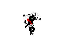 COC1=C[C@@H]2[C@@H]3[C@H](Sc4ccc(Br)cc4)c4ccc(C)c(OC(C)=O)c4[C@]2(CCN3C)CC1=O